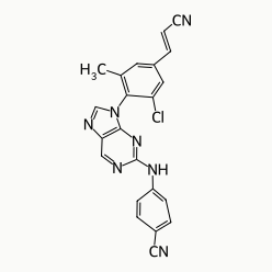 Cc1cc(/C=C/C#N)cc(Cl)c1-n1cnc2cnc(Nc3ccc(C#N)cc3)nc21